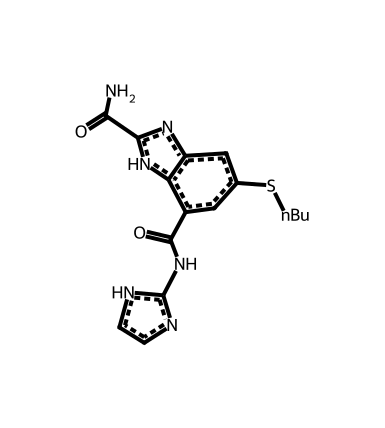 CCCCSc1cc(C(=O)Nc2ncc[nH]2)c2[nH]c(C(N)=O)nc2c1